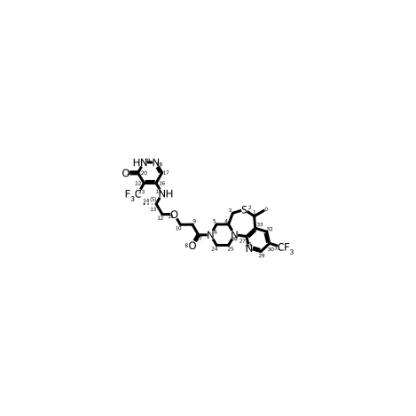 CC1SCC2CN(C(=O)CCOC[C@H](C)Nc3cn[nH]c(=O)c3C(F)(F)F)CCN2c2ncc(C(F)(F)F)cc21